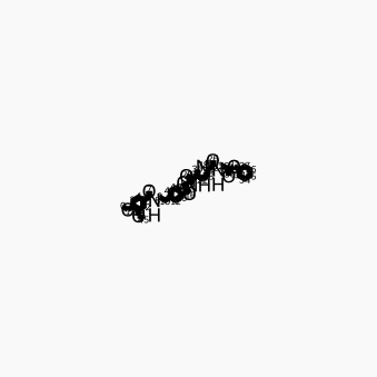 COc1ccc(C(=O)NCCc2ccc(S(=O)(=O)NC(=O)c3ccc(C(=O)NCC(=O)OC4CCCCC4)nc3)cc2)cc1OC